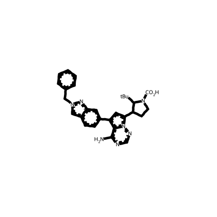 CC(C)(C)C1C(c2cc(-c3ccc4cn(Cc5ccccc5)nc4c3)c3c(N)ncnn23)CCN1C(=O)O